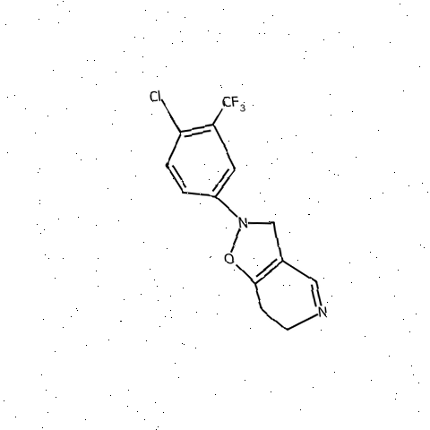 FC(F)(F)c1cc(N2CC3=C(CCN=C3)O2)ccc1Cl